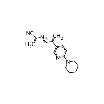 C=C(C#N)/N=C/C(=C)c1ccc(N2CCCCC2)nc1